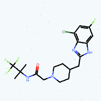 CC(C)(NC(=O)CN1CCC(Cc2nc3c(Cl)cc(F)cc3[nH]2)CC1)C(F)(F)F